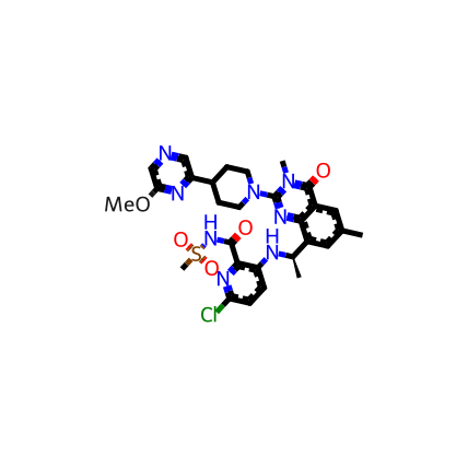 COc1cncc(C2CCN(c3nc4c([C@@H](C)Nc5ccc(Cl)nc5C(=O)NS(C)(=O)=O)cc(C)cc4c(=O)n3C)CC2)n1